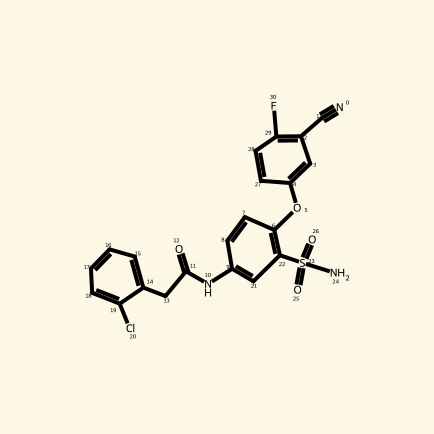 N#Cc1cc(Oc2ccc(NC(=O)Cc3ccccc3Cl)cc2S(N)(=O)=O)ccc1F